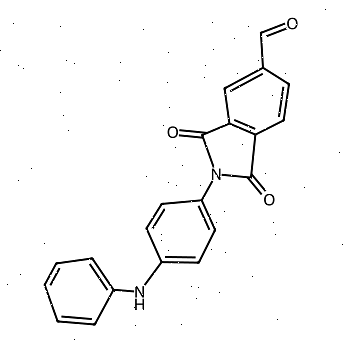 O=Cc1ccc2c(c1)C(=O)N(c1ccc(Nc3ccccc3)cc1)C2=O